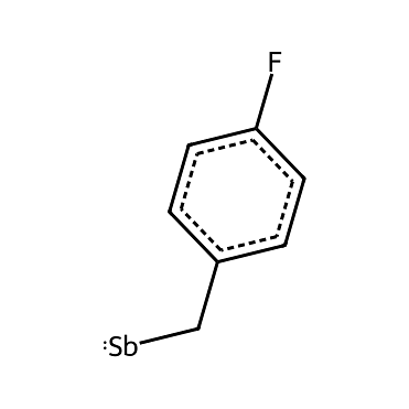 Fc1ccc([CH2][Sb])cc1